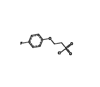 O=S(=O)(Cl)CCOc1ccc(F)cc1